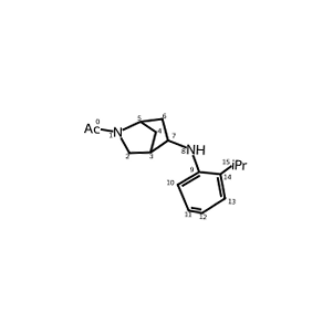 CC(=O)N1CC2CC1CC2Nc1ccccc1C(C)C